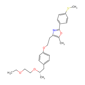 CCOCCO[C@@H](C)Cc1ccc(OCCc2nc(-c3ccc(SC)cc3)oc2C)cc1